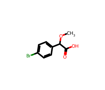 COC(C(=O)O)c1ccc(Br)cc1